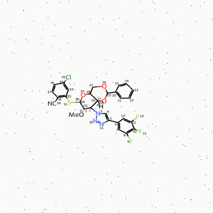 CO[C@H]1C(n2cc(-c3cc(F)c(F)c(F)c3)nn2)[C@H]2OC(c3ccccc3)OCC2O[C@@H]1Sc1cc(Cl)ccc1C#N